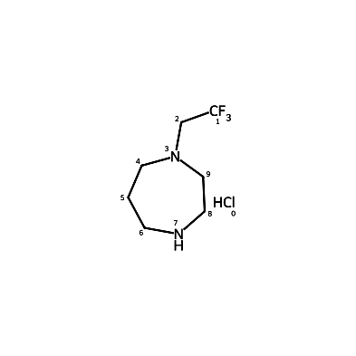 Cl.FC(F)(F)CN1CCCNCC1